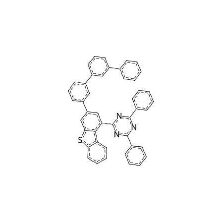 c1ccc(-c2cccc(-c3cccc(-c4cc(-c5nc(-c6ccccc6)nc(-c6ccccc6)n5)c5c(c4)sc4ccccc45)c3)c2)cc1